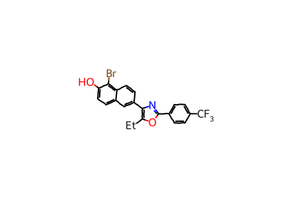 CCc1oc(-c2ccc(C(F)(F)F)cc2)nc1-c1ccc2c(Br)c(O)ccc2c1